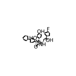 O=C1N[C@@H](CC[C@H](O)c2ccc(F)cc2)[C@@H](c2ccc(O)cc2O)N1c1ccc(-c2ccccc2)cc1